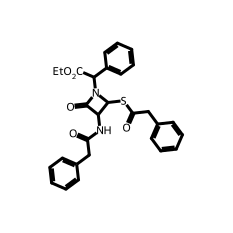 CCOC(=O)C(c1ccccc1)N1C(=O)C(NC(=O)Cc2ccccc2)C1SC(=O)Cc1ccccc1